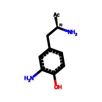 CC(=O)[C@@H](N)Cc1ccc(O)c(N)c1